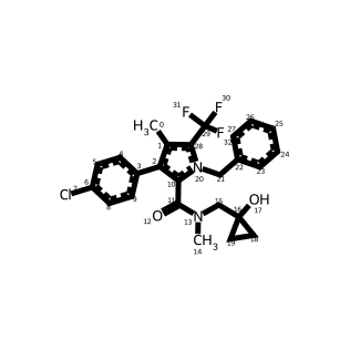 Cc1c(-c2ccc(Cl)cc2)c(C(=O)N(C)CC2(O)CC2)n(Cc2ccccc2)c1C(F)(F)F